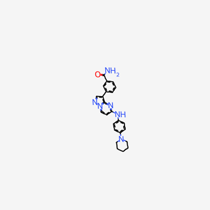 NC(=O)c1cccc(-c2cnn3ccc(Nc4ccc(N5CCCCC5)cc4)nc23)c1